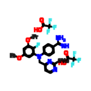 CCOc1cc(OC(C)C)c(F)c(N(Cc2ccnc(SC)n2)c2ccc(C(=N)N)cc2)c1.O=C(O)C(F)(F)F.O=C(O)C(F)(F)F